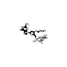 CCSSCO[C@@H]1C[C@H](n2cnc3c(=O)[nH]c(N)nc32)OC1COP(=O)(O)OP(=O)(O)OP(=O)(O)O